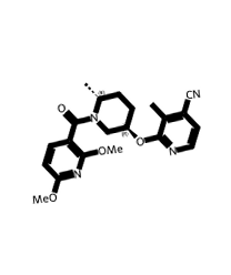 COc1ccc(C(=O)N2C[C@H](Oc3nccc(C#N)c3C)CC[C@H]2C)c(OC)n1